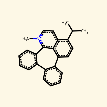 CC(C)c1ccc2c3c([n+](C)ccc13)-c1ccccc1-c1ccccc1-2